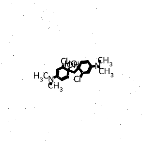 CN(C)C1=CC(Cl)C(O)(CC2(O)C=CC(N(C)C)=CC2Cl)C=C1